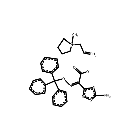 C=CC[N+]1(C)CCCC1.Nc1nc(C(=NOC(c2ccccc2)(c2ccccc2)c2ccccc2)C(=O)[O-])ns1